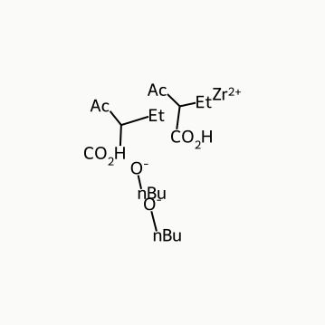 CCC(C(C)=O)C(=O)O.CCC(C(C)=O)C(=O)O.CCCC[O-].CCCC[O-].[Zr+2]